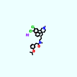 CC(C)Oc1cccc(CC(=O)N(C)CCCCC2(c3ccccc3)CCN(C)CC2c2ccc(Cl)c(Cl)c2)c1.I